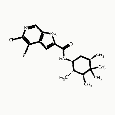 C[C@@H]1[C@@H](NC(=O)c2cc3c(F)c(Cl)ncc3[nH]2)C[C@@H](C)C(C)(C)[C@H]1C